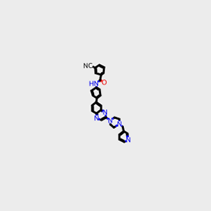 N#Cc1cccc(C(=O)Nc2ccc(-c3ccc4ncc(N5CCN(Cc6cccnc6)CC5)nc4c3)cc2)c1